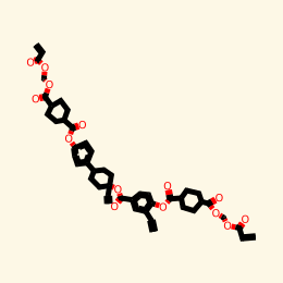 C#Cc1cc(C(=O)OC2(C#C)CCC(c3ccc(OC(=O)C4CCC(C(=O)OCOC(=O)C=C)CC4)cc3)CC2)ccc1OC(=O)C1CCC(C(=O)OCOC(=O)C=C)CC1